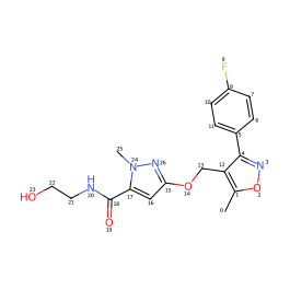 Cc1onc(-c2ccc(F)cc2)c1COc1cc(C(=O)NCCO)n(C)n1